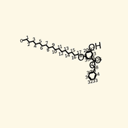 CCCCCCCCCCCCCCCCCCOc1cc(O)cc(C(=O)OCc2ccccc2)c1